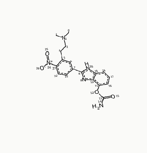 CN(C)CCc1cc(-c2nc3c(OC(N)=O)cccc3[nH]2)ccc1[N+](=O)[O-]